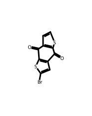 O=C1c2cc(Br)sc2C(=O)c2ccsc21